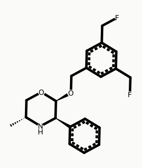 C[C@@H]1CO[C@@H](OCc2cc(CF)cc(CF)c2)[C@@H](c2ccccc2)N1